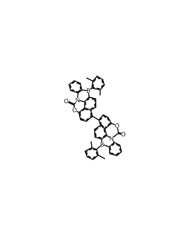 Cc1cccc(C)c1B1c2ccccc2N2C(=O)Oc3ccc(-c4ccc5c6c7c(ccc46)B(c4c(C)cccc4C)c4ccccc4N7C(=O)O5)c4ccc1c2c34